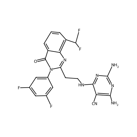 N#Cc1c(N)nc(N)nc1NCCc1nc2c(C(F)F)cccc2c(=O)n1-c1cc(F)cc(F)c1